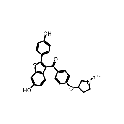 CCCN1CCC(Oc2ccc(C(=O)c3c(-c4ccc(O)cc4)sc4cc(O)ccc34)cc2)C1